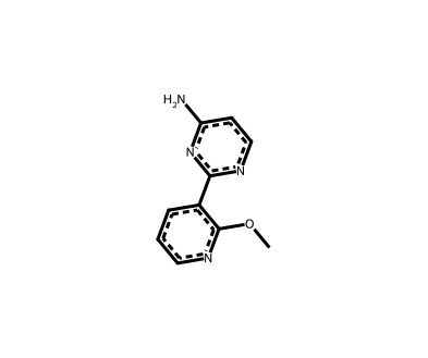 COc1ncccc1-c1nccc(N)n1